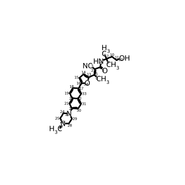 C/C(=C(/C#N)C(=O)NC(C)(C)CCO)c1ccc(-c2ccc3cc(N4CCN(C)CC4)ccc3c2)o1